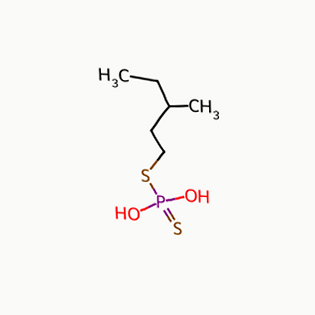 CCC(C)CCSP(O)(O)=S